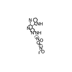 C=CC(=O)N1CC[C@@H](OC(=O)N2CCC(Nc3cc4c(-c5c[nH]c6ccccc56)c(C#N)cnc4cn3)C2)C1